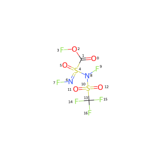 O=C(OF)S(=O)(=NF)N(F)S(=O)(=O)C(F)(F)F